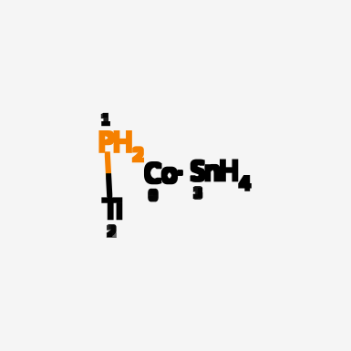 [Co].[PH2][Ti].[SnH4]